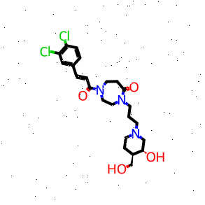 O=C(/C=C/c1ccc(Cl)c(Cl)c1)N1CCC(=O)N(CCCN2CC[C@H](CO)[C@@H](O)C2)CC1